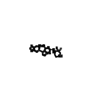 COc1nc(NC2CCNCC2(F)F)nn2ccc(-c3ccc4ncnn4c3)c12